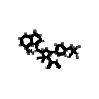 CC1(C)C(C(=O)C=O)N(c2ccc(SC(F)(F)F)cc2)CN1Cc1ccnc2cccc(N)c12